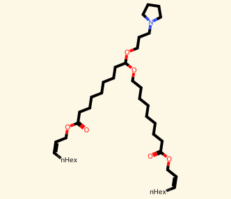 CCCCCC/C=C\COC(=O)CCCCCCCCOC(CCCCCCCC(=O)OC/C=C\CCCCCC)OCCCN1CCCC1